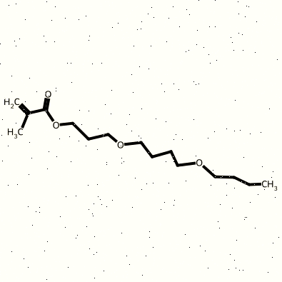 C=C(C)C(=O)OCCCOCCCCOCCCC